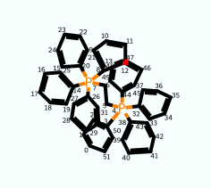 c1ccc(P(CCP(c2ccccc2)(c2ccccc2)(c2ccccc2)c2ccccc2)(c2ccccc2)(c2ccccc2)c2ccccc2)cc1